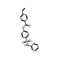 C=Cc1ccc(C(=O)Oc2ccc(S(=O)(=O)Nc3ccccc3)cc2)cc1